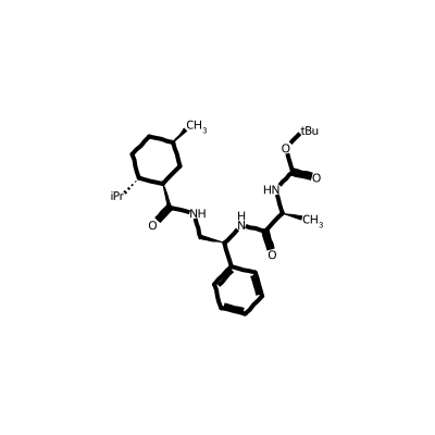 CC(C)[C@@H]1CC[C@@H](C)C[C@H]1C(=O)NC[C@@H](NC(=O)[C@H](C)NC(=O)OC(C)(C)C)c1ccccc1